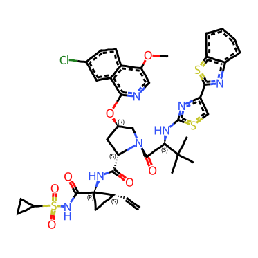 C=C[C@@H]1C[C@]1(NC(=O)[C@@H]1C[C@@H](Oc2ncc(OC)c3ccc(Cl)cc23)CN1C(=O)[C@@H](Nc1nc(-c2nc3ccccc3s2)cs1)C(C)(C)C)C(=O)NS(=O)(=O)C1CC1